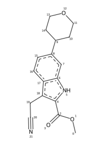 COC(=O)c1[nH]c2cc(C3CCOCC3)ccc2c1CC#N